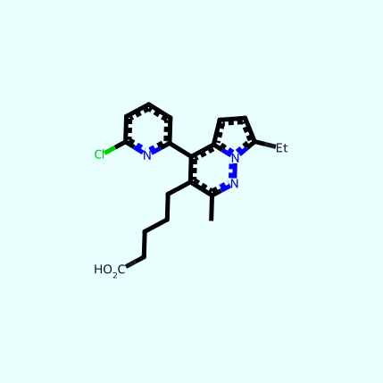 CCc1ccc2c(-c3cccc(Cl)n3)c(CCCCC(=O)O)c(C)nn12